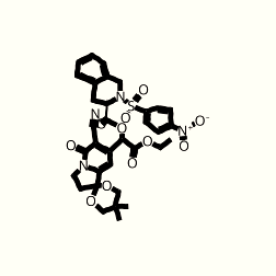 CCOC(=O)C(OC(=O)[C@H]1Cc2ccccc2CN1S(=O)(=O)c1ccc([N+](=O)[O-])cc1)c1cc2n(c(=O)c1C#N)CCC21OCC(C)(C)CO1